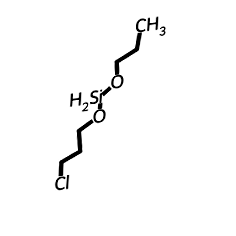 CCCO[SiH2]OCCCCl